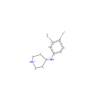 Fc1ccc(NC2CCNCC2)cc1F